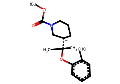 CC(C)(C)OC(=O)N1CCC[C@H](C(C)(C)Oc2ccccc2C=O)C1